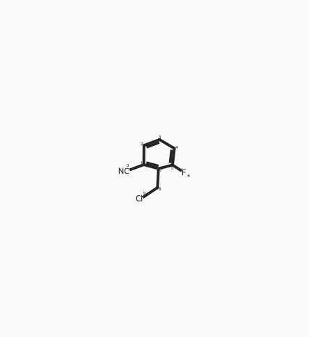 N#Cc1cccc(F)c1CCl